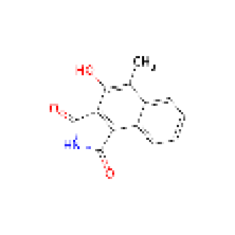 Cc1c(O)c2c(c3ccccc13)C(=O)NC2=O